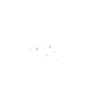 NCc1[c]ccc(OCc2ccccc2)c1Br